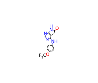 O=C1Cc2c(ncnc2Nc2ccc(OC(F)(F)F)cc2)N1